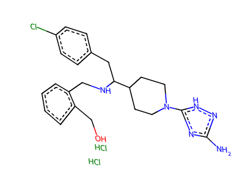 Cl.Cl.Nc1n[nH]c(N2CCC(C(Cc3ccc(Cl)cc3)NCc3ccccc3CO)CC2)n1